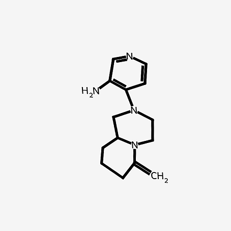 C=C1CCCC2CN(c3ccncc3N)CCN12